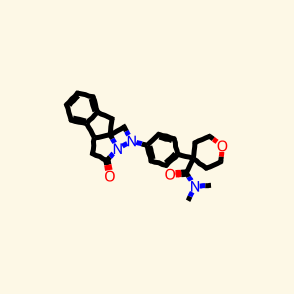 CN(C)C(=O)C1(c2ccc(N3CC45Cc6ccccc6C4CC(=O)N35)cc2)CCOCC1